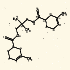 CC1=CCCC(C(=O)OCC(C)(C)COC(=O)C2CCC=C(C)C2)C1